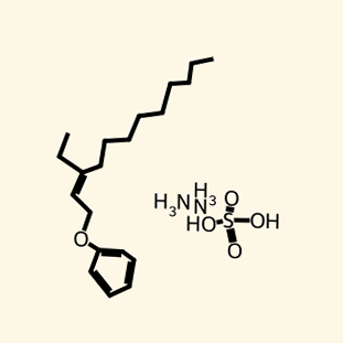 CCCCCCCCCC(=CCOc1ccccc1)CC.N.N.O=S(=O)(O)O